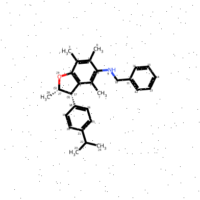 Cc1c(C)c2c(c(C)c1NCc1ccccc1)[C@H](c1ccc(C(C)C)cc1)[C@H](C)O2